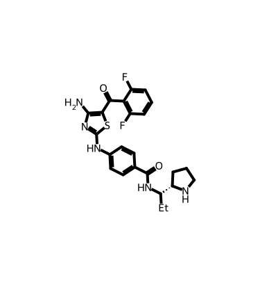 CCC(NC(=O)c1ccc(Nc2nc(N)c(C(=O)c3c(F)cccc3F)s2)cc1)[C@@H]1CCCN1